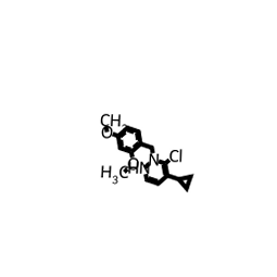 COc1ccc(CN2NC=CC(C3CC3)=C2Cl)c(OC)c1